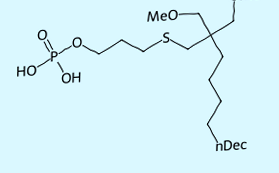 CCCCCCCCCCCCCCC(COC)(COC)CSCCCOP(=O)(O)O